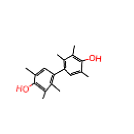 Cc1cc(-c2cc(C)c(O)c(C)c2C)c(C)c(C)c1O